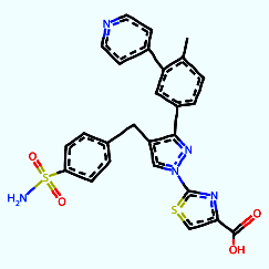 Cc1ccc(-c2nn(-c3nc(C(=O)O)cs3)cc2Cc2ccc(S(N)(=O)=O)cc2)cc1-c1ccncc1